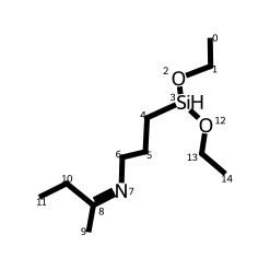 CCO[SiH](CCCN=C(C)CC)OCC